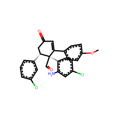 COc1ccc(C2=CC(=O)C[C@@H](c3cccc(Cl)c3)[C@@]2(C=O)c2ccc(Cl)cc2N)cc1